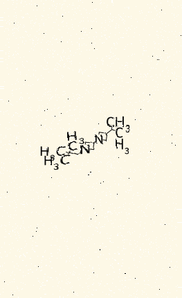 CC(C)C1CN(C2CN(CC(C)(C)C)C2)C1